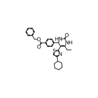 CCC1=C(c2nc(C3CCCCC3)cs2)C(c2ccc(C(=O)OCc3ccccc3)cc2)NC(=O)N1